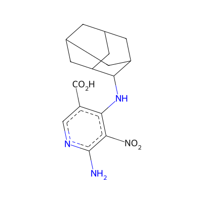 Nc1ncc(C(=O)O)c(NC2C3CC4CC(C3)CC2C4)c1[N+](=O)[O-]